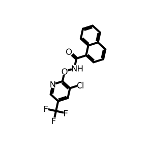 O=C(NOc1ncc(C(F)(F)F)cc1Cl)c1cccc2ccccc12